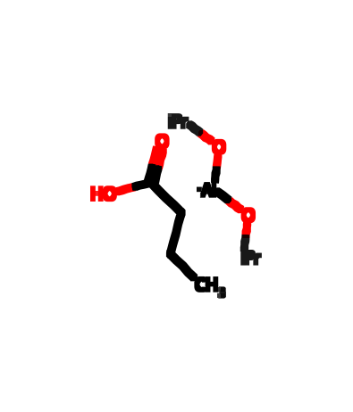 CC(C)[O][Al][O]C(C)C.CCCC(=O)O